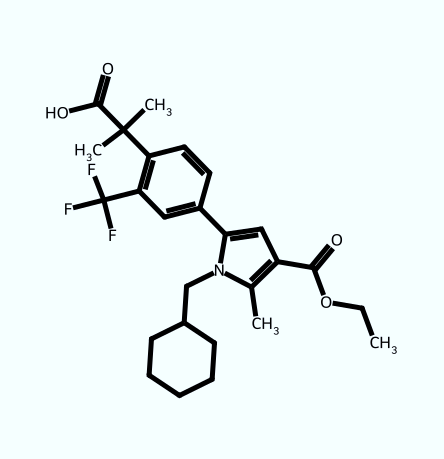 CCOC(=O)c1cc(-c2ccc(C(C)(C)C(=O)O)c(C(F)(F)F)c2)n(CC2CCCCC2)c1C